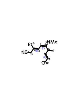 CC/C(=C\C=C(\NC)C(C)/C=C/Cl)CC#N